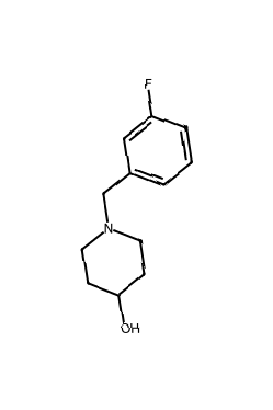 OC1CCN(Cc2cccc(F)c2)CC1